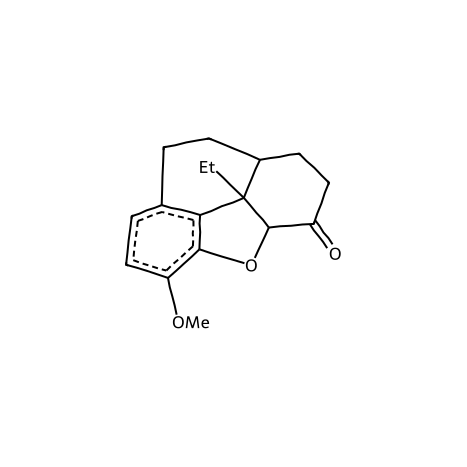 CCC12c3c4ccc(OC)c3OC1C(=O)CCC2CC4